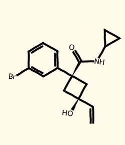 C=C[C@]1(O)C[C@](C(=O)NC2CC2)(c2cccc(Br)c2)C1